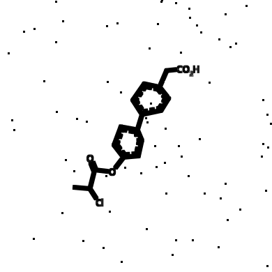 CC(Cl)C(=O)Oc1ccc(-c2ccc(CC(=O)O)cc2)cc1